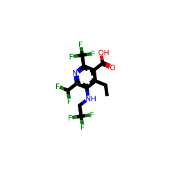 CCc1c(NCC(F)(F)F)c(C(F)F)nc(C(F)(F)F)c1C(=O)O